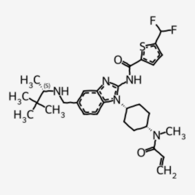 C=CC(=O)N(C)[C@H]1CC[C@@H](n2c(NC(=O)c3ccc(C(F)F)s3)nc3cc(CN[C@@H](C)C(C)(C)C)ccc32)CC1